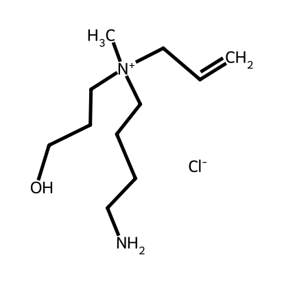 C=CC[N+](C)(CCCO)CCCCN.[Cl-]